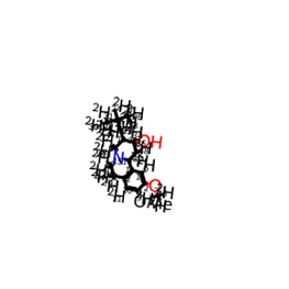 [2H]c1c(OC([2H])([2H])[2H])c(OC)c([2H])c2c1C1N(C([2H])([2H])C(C([2H])([2H])C(C)(C([2H])([2H])[2H])C([2H])([2H])[2H])C([2H])(O)C1([2H])[2H])C([2H])([2H])C2([2H])[2H]